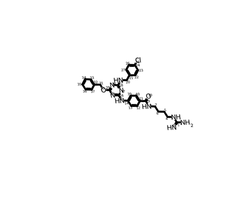 N=C(N)NCCCCNC(=O)c1ccc(Nc2nc(NCc3ccc(Cl)cc3)nc(OCc3ccccc3)n2)cc1